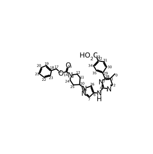 Cc1cnc(Nc2cnn(C3CCN(C(=O)OCc4ccccc4)CC3)c2)nc1-c1ccc(C(=O)O)cc1